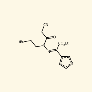 CCOC(=O)C(=NN(CCC(C)(C)C)C(=O)CC#N)c1ccsc1